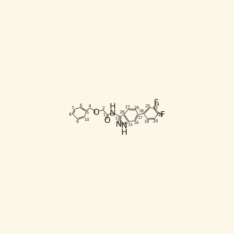 O=C(COCc1ccccc1)Nc1n[nH]c2cc(-c3ccc(F)c(F)c3)ccc12